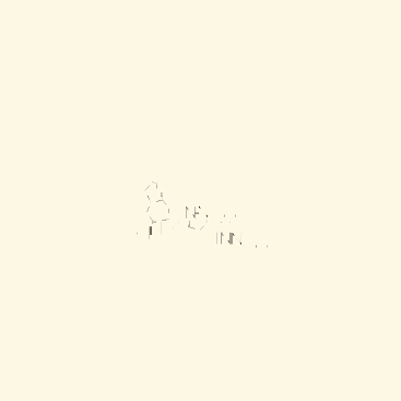 Cc1cc(C(=O)NN2CCOCC2)nn1Cc1cc(Cl)cc2cc(C3CCCCC3)oc12